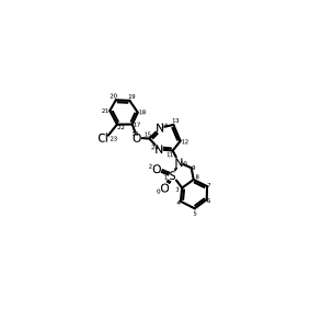 O=S1(=O)c2ccccc2CN1c1ccnc(Oc2ccccc2Cl)n1